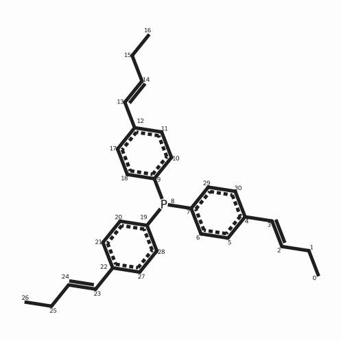 CCC=Cc1ccc(P(c2ccc(C=CCC)cc2)c2ccc(C=CCC)cc2)cc1